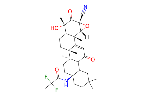 CC1(C)CC[C@]2(NC(=O)C(C)(F)F)CC[C@]3(C)C(C(=O)C=C4[C@]5(C)C(CC[C@]43C)[C@](C)(O)C(=O)[C@]3(C#N)O[C@@H]35)C2C1